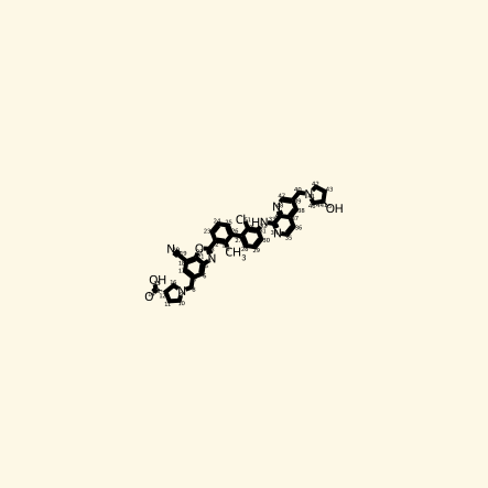 Cc1c(-c2nc3cc(CN4CC[C@H](C(=O)O)C4)cc(C#N)c3o2)cccc1-c1cccc(Nc2nccc3cc(CN4CC[C@H](O)C4)cnc23)c1Cl